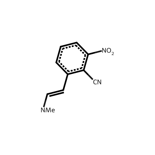 CNC=Cc1cccc([N+](=O)[O-])c1C#N